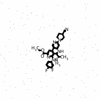 CCOC(=O)c1cc(-c2ccc(N3CCC(C#N)CC3)nc2)c(C(=N)C(C)C)c(Nc2ccc(F)c(F)c2)n1